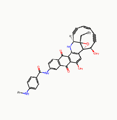 CC(C)C[C@@]12O[C@]13c1cc(O)c4c(c1N[C@H]2C#C/C=C\C#C[C@H]3O)C(=O)c1ccc(NC(=O)c2ccc(NC(C)C)cc2)cc1C4=O